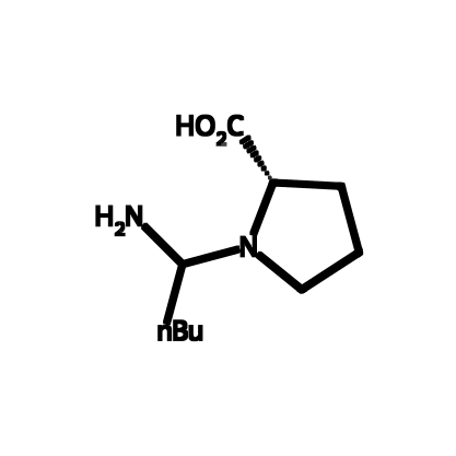 CCCCC(N)N1CCC[C@H]1C(=O)O